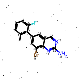 Cc1cccc(F)c1-c1cc(Br)c2nc(N)ncc2c1